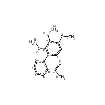 COc1ccc(-c2ccccc2C(C)=O)c(OC)c1OC